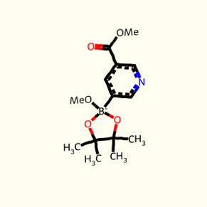 COC(=O)c1cncc([B-]2(OC)OC(C)(C)C(C)(C)O2)c1